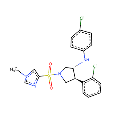 Cn1cnc(S(=O)(=O)N2C[C@H](Nc3ccc(Cl)cc3)[C@@H](c3ccccc3Cl)C2)c1